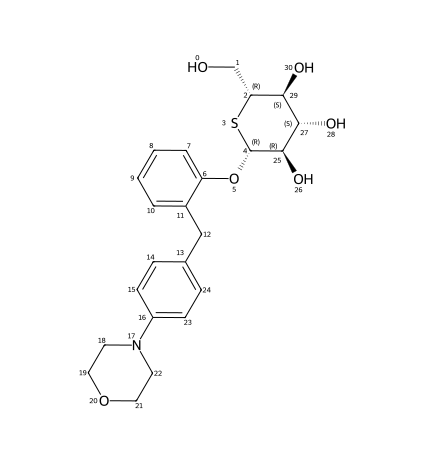 OC[C@H]1S[C@@H](Oc2ccccc2Cc2ccc(N3CCOCC3)cc2)[C@H](O)[C@@H](O)[C@@H]1O